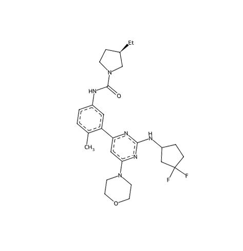 CC[C@@H]1CCN(C(=O)Nc2ccc(C)c(-c3cc(N4CCOCC4)nc(NC4CCC(F)(F)C4)n3)c2)C1